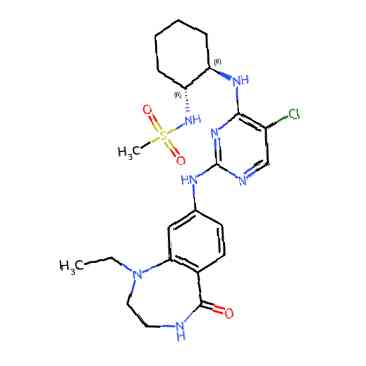 CCN1CCNC(=O)c2ccc(Nc3ncc(Cl)c(N[C@@H]4CCCC[C@H]4NS(C)(=O)=O)n3)cc21